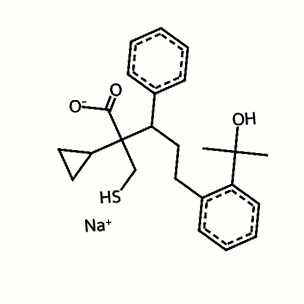 CC(C)(O)c1ccccc1CCC(c1ccccc1)C(CS)(C(=O)[O-])C1CC1.[Na+]